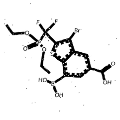 CCOP(=O)(OCC)C(F)(F)c1sc2c(B(O)O)cc(C(=O)O)cc2c1Br